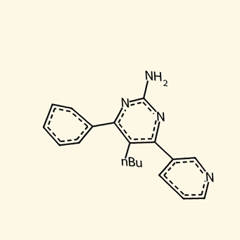 CCCCc1c(-c2ccccc2)nc(N)nc1-c1cccnc1